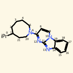 CC(C)C1CCCCN(c2ccn3c(n2)nc2ccccc23)CC1